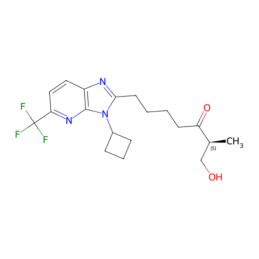 C[C@@H](CO)C(=O)CCCCc1nc2ccc(C(F)(F)F)nc2n1C1CCC1